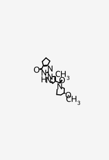 COC1CCCN(C(=O)c2cnn(-c3nc4c(c(=O)[nH]3)CCC4)c2C)C1